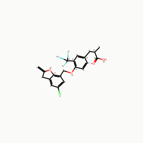 C=C1Cc2cc(Cl)cc(COc3ccc(CC(C)C(=O)O)cc3C(F)(F)F)c2O1